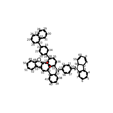 C1=CC2c3ccccc3N(c3ccc(N(c4ccc(-c5ccc(-c6cccc7ccccc67)cc5)cc4)c4ccccc4-c4ccc5oc6ccccc6c5c4)cc3)C2C=C1